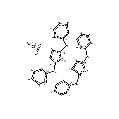 O=O.[Ag+].[Cl-].[c-]1n(Cc2ccccn2)cc[n+]1Cc1ccccn1.[c-]1n(Cc2ccccn2)cc[n+]1Cc1ccccn1